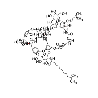 CNC(=O)[C@@H]1NC(=O)[C@@H]2NC(=O)[C@H]3NC(=O)[C@@H](Cc4ccc(cc4)Oc4cc2cc(c4O[C@@H]2O[C@H](C(=O)O)[C@@H](O)[C@H](O)[C@H]2NC(=O)CCCCCCCCC(C)C)Oc2ccc(cc2Cl)[C@@H](O)CC(=O)N[C@H](C(=O)NCCCN(C)C)c2cc(O)cc(O[C@H]4O[C@H](CO)[C@@H](O)[C@H](O)[C@@H]4O)c2-c2cc1ccc2O)NC(=O)[C@H](NC)c1ccc(c(O)c1)Oc1cc(O)c(Cl)c3c1